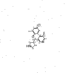 Cc1cc(Cl)ccc1O[C@H](c1cncc(F)c1)C1CCNC1